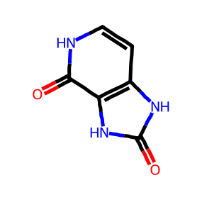 O=c1[nH]c2cc[nH]c(=O)c2[nH]1